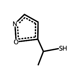 CC(S)c1ccno1